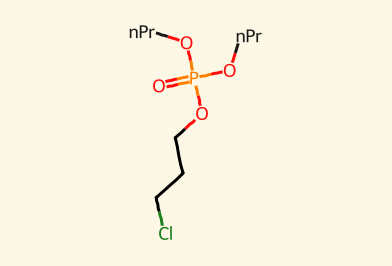 CCCOP(=O)(OCCC)OCCCCl